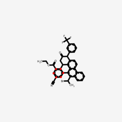 CCOC(=O)c1nccc(-c2c(C(C)Br)c3ccccc3c3ccc4c(c23)C(c2ccc(C#N)cc2)CC(=O)C4c2cccc(C(F)(F)F)c2)n1